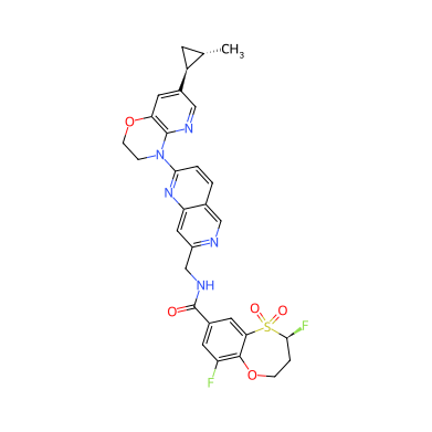 C[C@H]1C[C@@H]1c1cnc2c(c1)OCCN2c1ccc2cnc(CNC(=O)c3cc(F)c4c(c3)S(=O)(=O)[C@@H](F)CCO4)cc2n1